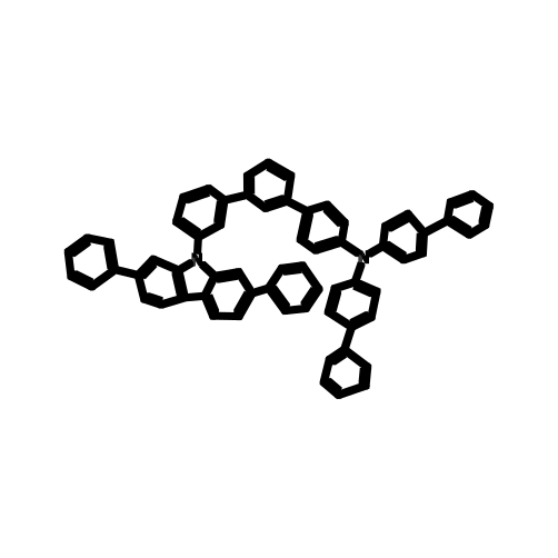 c1ccc(-c2ccc(N(c3ccc(-c4ccccc4)cc3)c3ccc(-c4cccc(-c5cccc(-n6c7cc(-c8ccccc8)ccc7c7ccc(-c8ccccc8)cc76)c5)c4)cc3)cc2)cc1